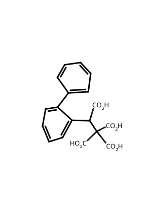 O=C(O)C(c1ccccc1-c1ccccc1)C(C(=O)O)(C(=O)O)C(=O)O